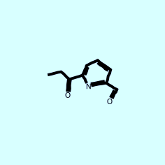 CCC(=O)c1cccc(C=O)n1